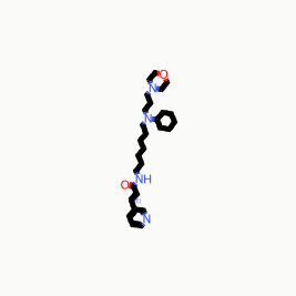 O=C(/C=C/c1cccnc1)NCCCCCCCN(CCCN1CCOCC1)C1CCCCC1